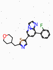 Fc1ccccc1-c1cc(-c2cnc(CC3CCOCC3)s2)cn2ccnc12